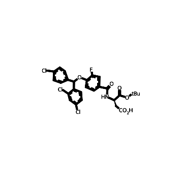 CC(C)(C)OC(=O)[C@@H](CC(=O)O)NC(=O)c1ccc(OC(c2ccc(Cl)cc2)c2ccc(Cl)cc2Cl)c(F)c1